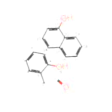 C=O.Cc1ccccc1O.Oc1cccc2ccccc12